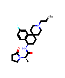 C[C@H](C(=O)N[C@@H]1CCC2(CCN(CCC(C)(C)C)CC2)c2cc(F)ccc21)N1CCCC1=O